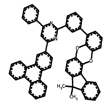 CC1(C)c2ccccc2-c2c1ccc1c2Oc2cccc(-c3cccc(-c4nc(-c5ccccc5)cc(-c5ccc6c7ccccc7c7ccccc7c6c5)n4)c3)c2O1